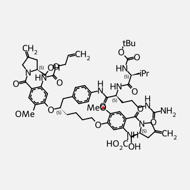 C=CCOC(=O)Nc1cc(O[C@@H](CCCCOc2cc(NC(=O)O)c(C(=O)N3CC(=C)C[C@H]3CO)cc2OC)Cc2ccc(NC(=O)[C@H](CCCNC(N)=O)NC(=O)[C@@H](NC(=O)OC(C)(C)C)C(C)C)cc2)c(OC)cc1C(=O)N1CC(=C)C[C@H]1CO